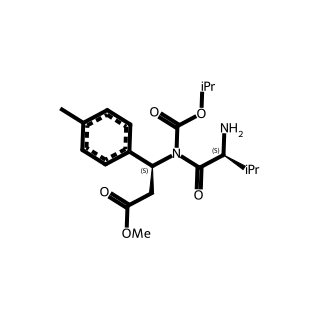 COC(=O)C[C@@H](c1ccc(C)cc1)N(C(=O)OC(C)C)C(=O)[C@@H](N)C(C)C